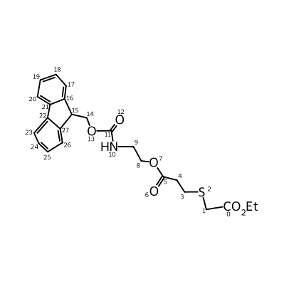 CCOC(=O)CSCCC(=O)OCCNC(=O)OCC1c2ccccc2-c2ccccc21